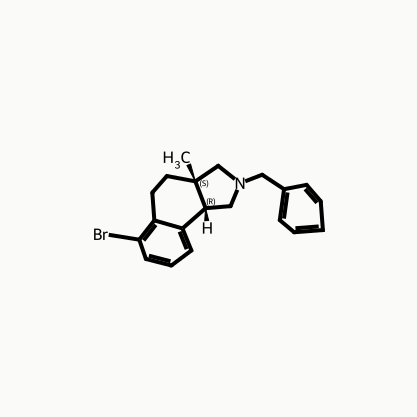 C[C@]12CCc3c(Br)cccc3[C@H]1CN(Cc1ccccc1)C2